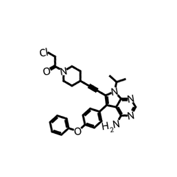 CC(C)n1c(C#CC2CCN(C(=O)CCl)CC2)c(-c2ccc(Oc3ccccc3)cc2)c2c(N)ncnc21